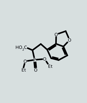 CCOP(=O)(OCC)C(Cc1cccc2c1OCO2)C(=O)O